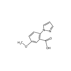 COc1ccc(-n2cccn2)c(C(=O)O)c1